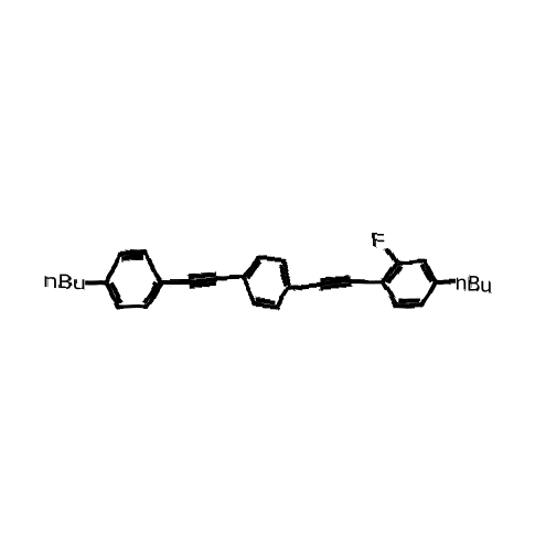 CCCCc1ccc(C#Cc2ccc(C#Cc3ccc(CCCC)cc3F)cc2)cc1